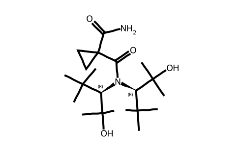 CC(C)(C)[C@@H](N(C(=O)C1(C(N)=O)CC1)[C@H](C(C)(C)C)C(C)(C)O)C(C)(C)O